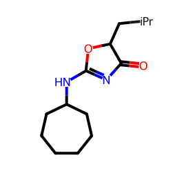 CC(C)CC1OC(NC2CCCCCC2)=NC1=O